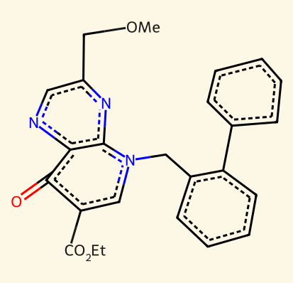 CCOC(=O)c1cn(Cc2ccccc2-c2ccccc2)c2nc(COC)cnc2c1=O